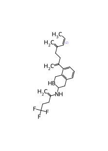 C=C(/C=C\C)CCC(=C)c1cccc2c1CBC(NC(=C)CCC(F)(F)F)C2